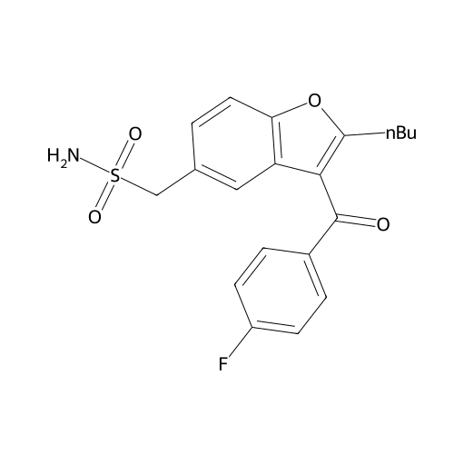 CCCCc1oc2ccc(CS(N)(=O)=O)cc2c1C(=O)c1ccc(F)cc1